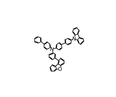 c1ccc(-c2ccc(N(c3ccc(-c4ccc(-n5c6ccccc6c6ccccc65)cc4)cc3)c3cccc(-c4cccc5oc6ccccc6c45)c3)cc2)cc1